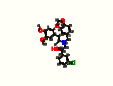 COc1ccc(CC(C)N(Cc2ccc3c(c2)OCO3)C[C@H](O)c2cccc(Cl)c2)cc1OC